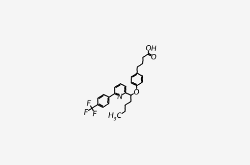 CCCCC(Oc1ccc(CCCC(=O)O)cc1)c1cccc(-c2ccc(C(F)(F)F)cc2)n1